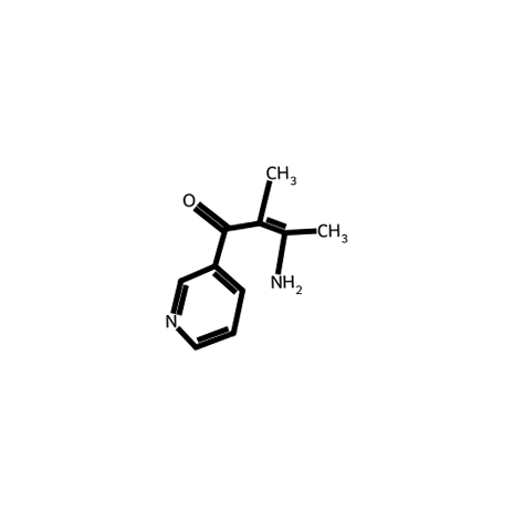 CC(N)=C(C)C(=O)c1cccnc1